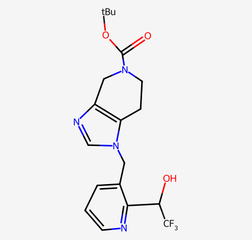 CC(C)(C)OC(=O)N1CCc2c(ncn2Cc2cccnc2C(O)C(F)(F)F)C1